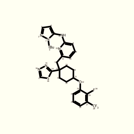 CC(C)(C)n1nccc1Nc1cccc(CC2(c3nncs3)CCC(Oc3cccc(C(F)(F)F)c3F)CC2)n1